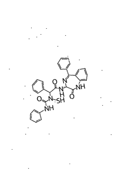 O=C1Nc2ccccc2C(c2ccccc2)=NC1NC(=O)C(c1ccccc1)N(S)C(=O)Nc1ccccc1